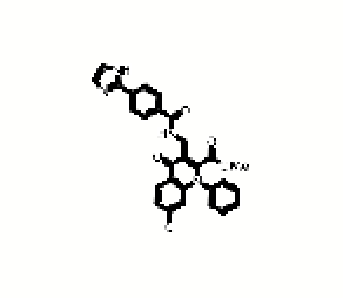 COC(=O)c1c(CNC(=O)c2ccc(-c3ncc[nH]3)cc2)c(=O)c2ccc(Cl)cc2n1-c1ccccc1